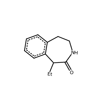 CCC1C(=O)NCCc2ccccc21